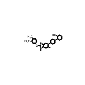 Cc1ccc(Oc2nc3cc(-c4ccc(-c5ccccc5O)cc4)c(F)cc3[nH]2)cc1C(=O)O